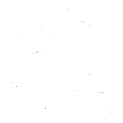 CCNC(=O)Nc1cc2c(-c3ccncc3)ccc(C(C)(OC(N)=O)c3nccn3C)c2cn1.Cl